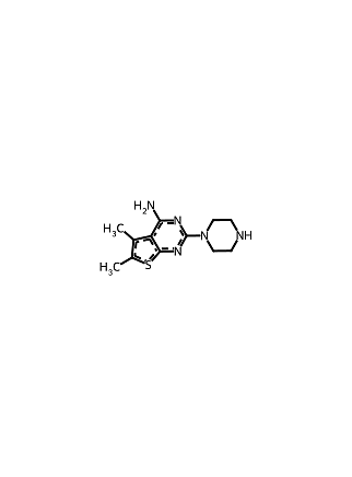 Cc1sc2nc(N3CCNCC3)nc(N)c2c1C